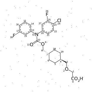 O=C(O)COC[C@H]1CC[C@H](COC(=O)N(c2cccc(F)c2)c2ccc(Cl)c(F)c2)CC1